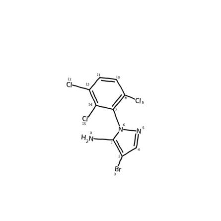 Nc1c(Br)cnn1-c1c(Cl)ccc(Cl)c1Cl